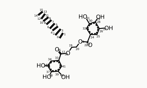 C=C.C=C.C=C.C=C.C=C.C=C.C=C.C=C.O=C(OCCOC(=O)c1cc(O)c(O)c(O)c1)c1cc(O)c(O)c(O)c1